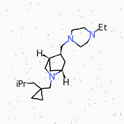 CCN1CCN(C[C@H]2C[C@H]3C[C@@H]2CN3CC2(CC(C)C)CC2)CC1